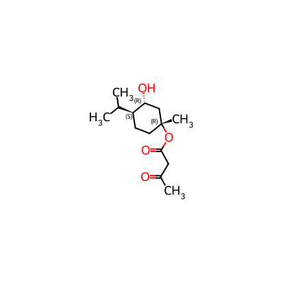 CC(=O)CC(=O)O[C@]1(C)CC[C@@H](C(C)C)[C@H](O)C1